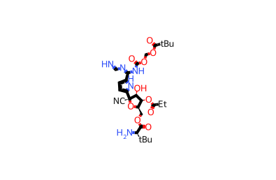 CCC(=O)O[C@H]1[C@@H](O)[C@](C#N)(c2ccc(/C(=N\C=N)NC(=O)OCOC(=O)C(C)(C)C)[nH]2)O[C@@H]1COC(=O)[C@@H](N)C(C)(C)C